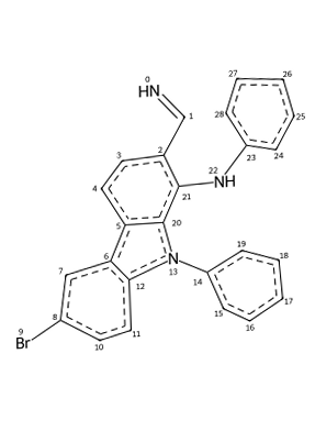 N=Cc1ccc2c3cc(Br)ccc3n(-c3ccccc3)c2c1Nc1ccccc1